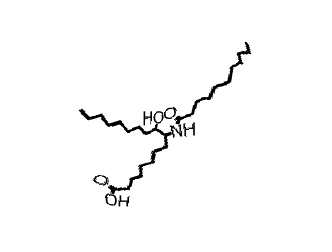 CCCCCCCCCCC(=O)NC(CCCCCCCC(=O)O)C(O)CCCCCCCC